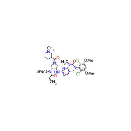 C=CC(=O)N(CCCCC)C1CN(C(=O)C2CCCN(C)C2)CC1Nc1ncc2c(n1)N(C)C(=O)N(c1c(Cl)c(OC)cc(OC)c1Cl)C2